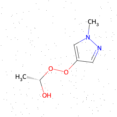 C[C@@H](O)OOc1cnn(C)c1